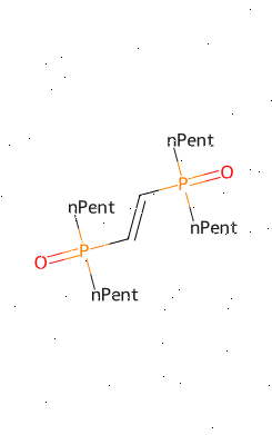 CCCCCP(=O)(C=CP(=O)(CCCCC)CCCCC)CCCCC